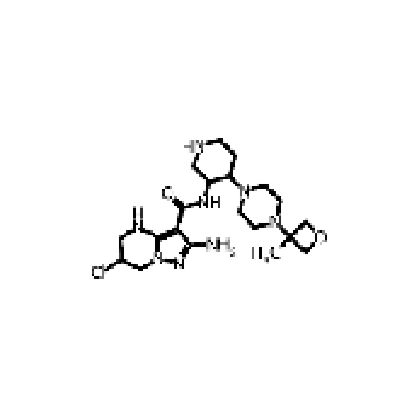 CC1(N2CCN(C3CCNCC3NC(=O)c3c(N)nn4c3NCC(Cl)C4)CC2)COC1